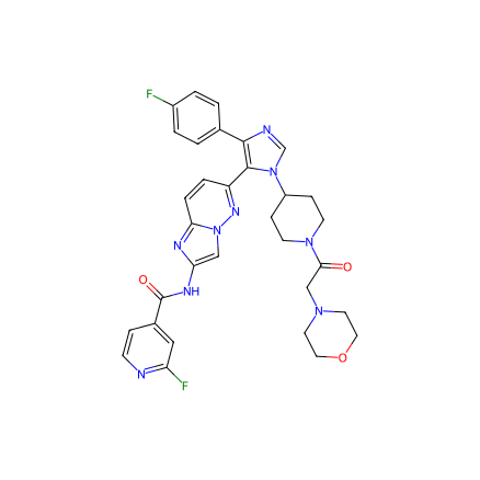 O=C(Nc1cn2nc(-c3c(-c4ccc(F)cc4)ncn3C3CCN(C(=O)CN4CCOCC4)CC3)ccc2n1)c1ccnc(F)c1